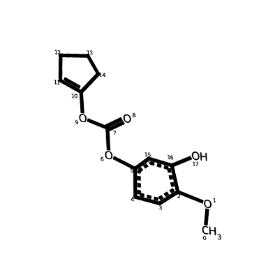 COc1ccc(OC(=O)OC2=CCCC2)cc1O